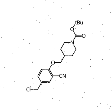 CC(C)(C)OC(=O)N1CCC(COc2ccc(CCl)cc2C#N)CC1